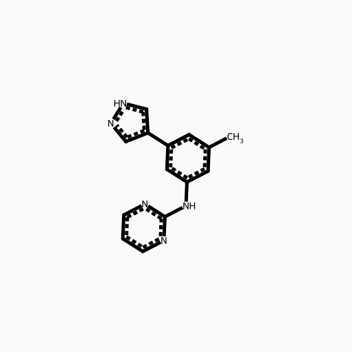 Cc1cc(Nc2ncccn2)cc(-c2cn[nH]c2)c1